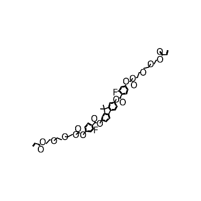 C=CC(=O)OCCOCCOCCOC(=O)Oc1ccc(C(=O)Oc2ccc3c(c2)C(C)(C)c2cc(OC(=O)c4ccc(OC(=O)OCCOCCOCCOC(=O)C=C)cc4F)ccc2-3)c(F)c1